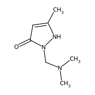 Cc1cc(=O)n(CN(C)C)[nH]1